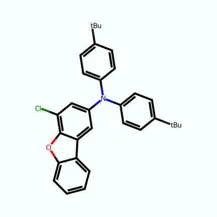 CC(C)(C)c1ccc(N(c2ccc(C(C)(C)C)cc2)c2cc(Cl)c3oc4ccccc4c3c2)cc1